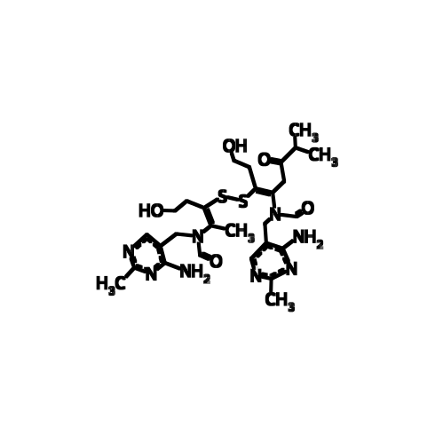 CC(=C(CCO)SSC(CCO)=C(CC(=O)C(C)C)N(C=O)Cc1cnc(C)nc1N)N(C=O)Cc1cnc(C)nc1N